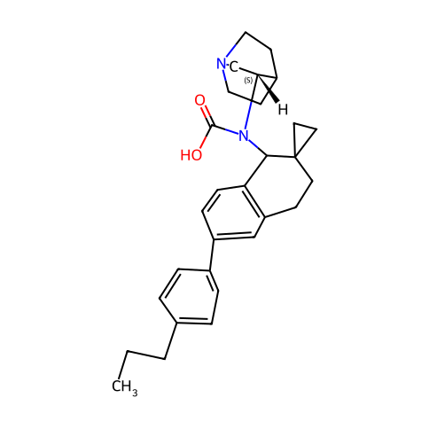 CCCc1ccc(-c2ccc3c(c2)CCC2(CC2)C3N(C(=O)O)[C@@H]2CN3CCC2CC3)cc1